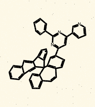 C1=Cc2ccc(-c3cc(-c4cccnc4)nc(-c4ccccc4)n3)cc2C2(c3ccccc31)c1ccccc1-c1cc3ccccc3cc12